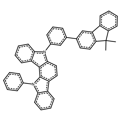 CC1(C)c2ccccc2-c2cc(-c3cccc(-n4c5ccccc5c5c4ccc4c6ccccc6n(-c6ccccc6)c45)c3)ccc21